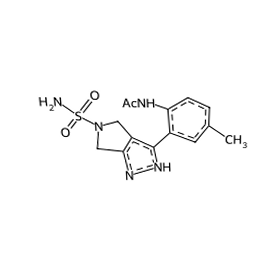 CC(=O)Nc1ccc(C)cc1-c1[nH]nc2c1CN(S(N)(=O)=O)C2